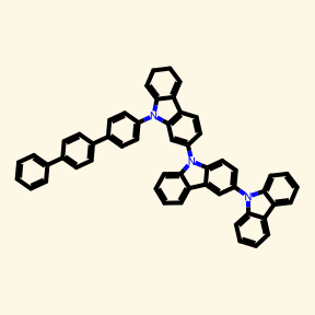 C1=c2c(n(-c3ccc(-c4ccc(-c5ccccc5)cc4)cc3)c3cc(-n4c5ccccc5c5cc(-n6c7ccccc7c7ccccc76)ccc54)ccc23)=CCC1